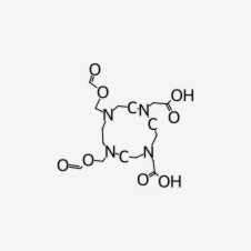 O=COCN1CCN(COC=O)CCN(CC(=O)O)CCN(CC(=O)O)CC1